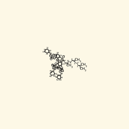 CC(C)=CCCC(C)=CCCC(C)=CCN1C(=O)c2cccc(OP(=O)(O)OCc3ccccc3)c2Nc2c(OP(=O)(O)OCc3ccccc3)cc(OP(=O)(O)OCc3ccccc3)cc21